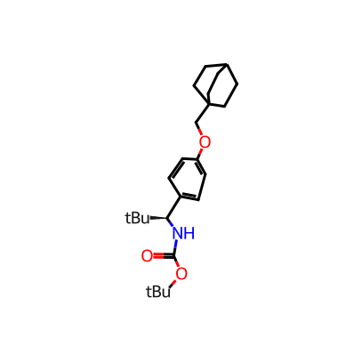 CC(C)(C)OC(=O)N[C@H](c1ccc(OCC23CCC(CC2)CC3)cc1)C(C)(C)C